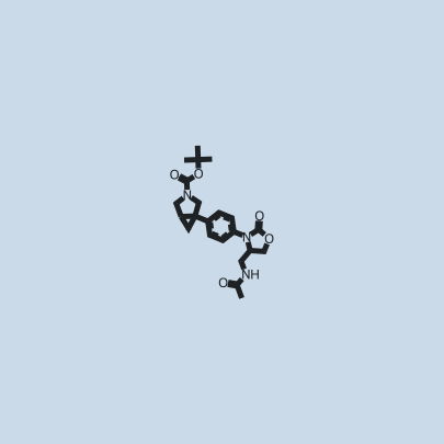 CC(=O)NCC1COC(=O)N1c1ccc(C23CC2CN(C(=O)OC(C)(C)C)C3)cc1